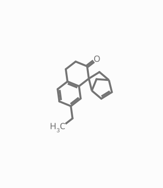 CCc1ccc2c(c1)C1(CC3C=CC1C3)C(=O)CC2